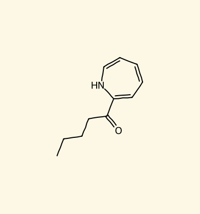 CCCCC(=O)C1=CC=CC=CN1